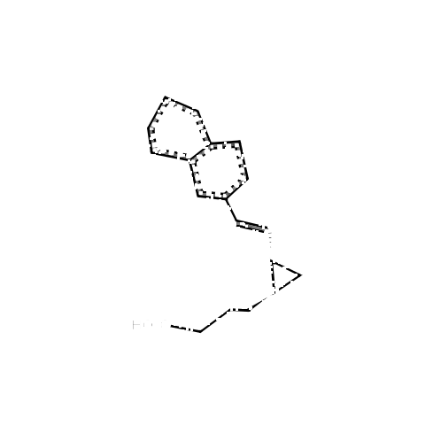 O=C(O)CCC[C@@H]1C[C@H]1/C=C/c1ccc2ccccc2c1